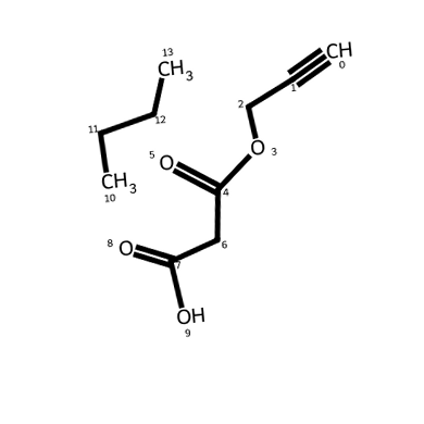 C#CCOC(=O)CC(=O)O.CCCC